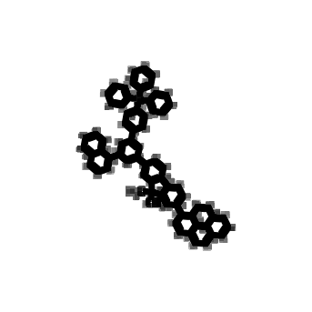 CC1(C)c2cc(-c3cc(-c4ccc([Si](c5ccccc5)(c5ccccc5)c5ccccc5)cc4)cc(-c4cccc5ccccc45)c3)ccc2-c2ccc(-c3ccc4ccc5cccc6ccc3c4c56)cc21